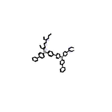 C=C/C=C(C=C)/C=C/C=C(\C=C)N(c1ccc(-c2ccccc2)cc1)c1ccc(-c2ccc(N(c3ccc(C(/C=C\C)=C/C)cc3)c3ccc(C4C=CC=CC4)cc3)cc2)cc1